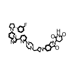 O=C1CCC(N2Cc3cc(N4CC(CN5CCN(c6cccc(-c7cnc8ccc(N9CCC[C@@H]9c9cccc(F)c9)cn78)n6)CC5)C4)ccc3C2=O)C(=O)N1